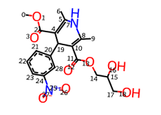 COC(=O)C1=C(C)NC(C)=C(C(=O)OCC(O)CO)C1c1cccc([N+](=O)[O-])c1